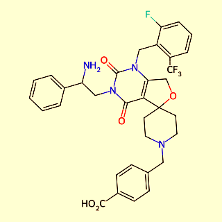 NC(Cn1c(=O)c2c(n(Cc3c(F)cccc3C(F)(F)F)c1=O)COC21CCN(Cc2ccc(C(=O)O)cc2)CC1)c1ccccc1